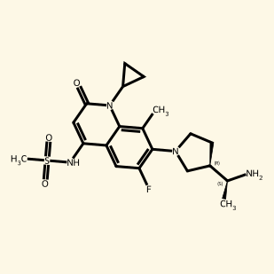 Cc1c(N2CC[C@@H]([C@H](C)N)C2)c(F)cc2c(NS(C)(=O)=O)cc(=O)n(C3CC3)c12